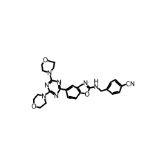 N#Cc1ccc(CNc2nc3cc(-c4nc(N5CCOCC5)nc(N5CCOCC5)n4)ccc3o2)cc1